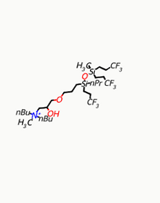 CCCC[N+](C)(CCCC)CC(O)COCCC[Si](CCC)(CCC(F)(F)F)O[Si](C)(CCC(F)(F)F)CCC(F)(F)F